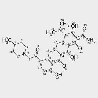 CC1CCN(CC(=O)c2ccc(O)c3c2CC2CC4C(C(=O)C(C(N)=O)=C(O)[C@H]4N(C)C)C(O)=C2C3=O)CC1